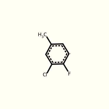 Cc1c[c]c(F)c(Cl)c1